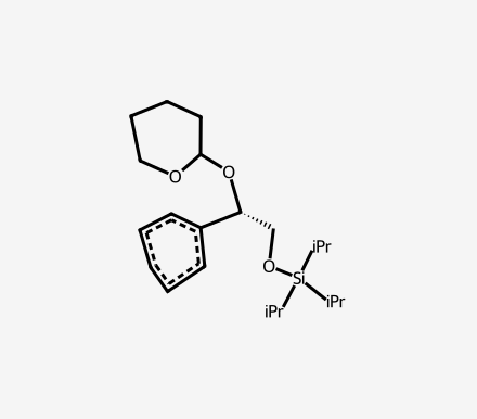 CC(C)[Si](OC[C@@H](OC1CCCCO1)c1ccccc1)(C(C)C)C(C)C